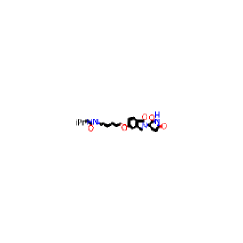 CC(C)CC(=O)NCCCCCCOc1ccc2c(c1)CN(C1CCC(=O)NC1=O)C2=O